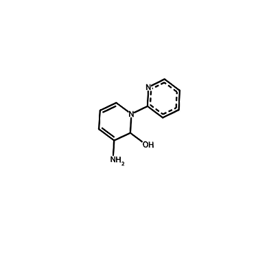 NC1=CC=CN(c2ccccn2)C1O